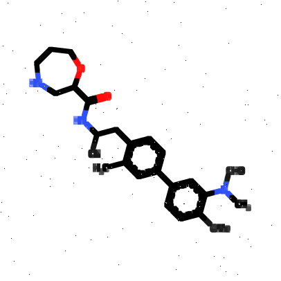 COc1ccc(-c2ccc(CC(C#N)NC(=O)C3CNCCCO3)c(C)c2)cc1N(C)C=O